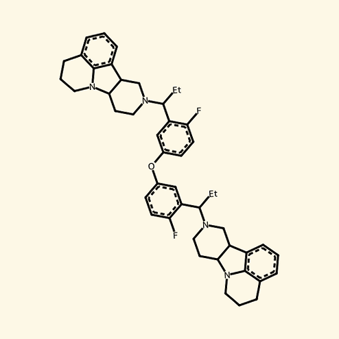 CCC(c1cc(Oc2ccc(F)c(C(CC)N3CCC4C(C3)c3cccc5c3N4CCC5)c2)ccc1F)N1CCC2C(C1)c1cccc3c1N2CCC3